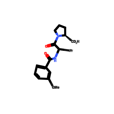 COc1cccc(C(=O)NC(C(=O)N2CCC[C@H]2C(=O)O)C(C)C)c1